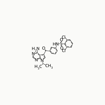 CC(C)n1cc(C(=O)c2cccc(NS(=O)(=O)c3c(Cl)cccc3Cl)c2)c2c(N)ncnc21